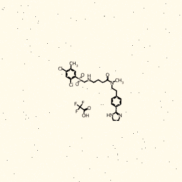 Cc1cc(S(=O)(=O)CNCCCC(=O)N(C)CCc2ccc(C3=NCCN3)cc2)c(Cl)cc1Cl.O=C(O)C(F)(F)F